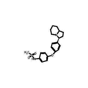 CS(=O)(=O)Nc1ccc(Oc2ccc([C@@H]3CCC4CCCCN43)cc2)cc1